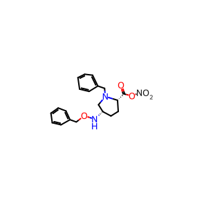 O=C(O[N+](=O)[O-])[C@@H]1CC[C@H](NOCc2ccccc2)CN1Cc1ccccc1